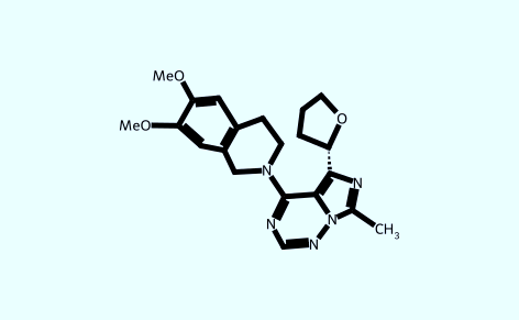 COc1cc2c(cc1OC)CN(c1ncnn3c(C)nc([C@@H]4CCCO4)c13)CC2